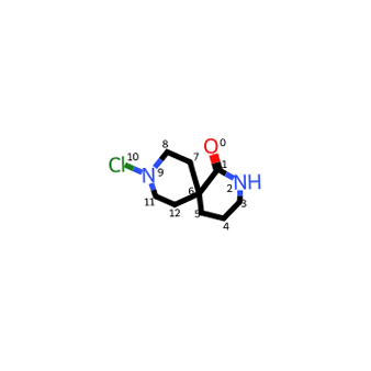 O=C1NCCCC12CCN(Cl)CC2